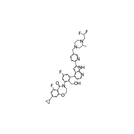 CC1CN(Cc2ccc(-c3cc4c(-c5cc(F)cc(N6CCOc7cc(C8CC8)cc(F)c7C6=O)c5CO)ccnc4[nH]3)nc2)CCN1CC(F)F